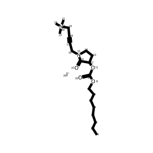 CCCCCCCCOC(=O)OC1CCN(CC#CC[N+](C)(C)C)C1=O.[I-]